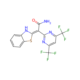 NC(=O)/C(=C1\Nc2ccccc2S1)c1nc(C(F)(F)F)cc(C(F)(F)F)n1